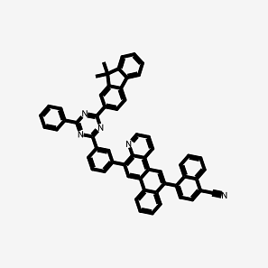 CC1(C)c2ccccc2-c2ccc(-c3nc(-c4ccccc4)nc(-c4cccc(-c5cc6c7ccccc7c(-c7ccc(C#N)c8ccccc78)cc6c6cccnc56)c4)n3)cc21